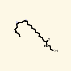 CC/C=C\C/C=C\C/C=C\CCCCCCCCCC(=O)NCCO